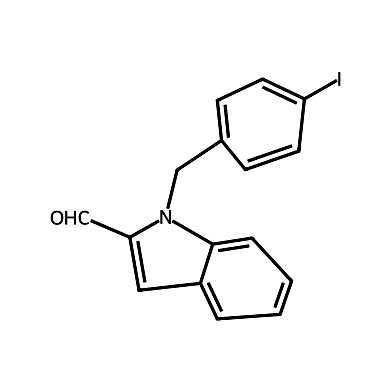 O=Cc1cc2ccccc2n1Cc1ccc(I)cc1